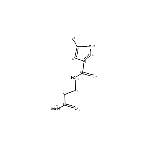 CNC(=O)CCNC(=O)c1csc(C)c1